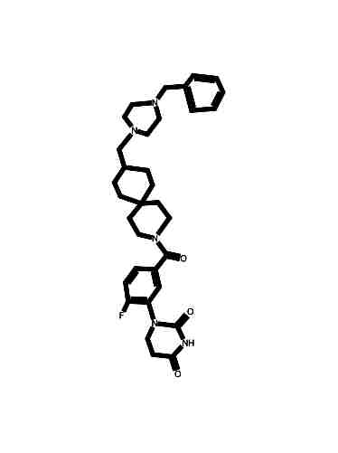 O=C1CCN(c2cc(C(=O)N3CCC4(CCC(CN5CCN(Cc6ccccc6)CC5)CC4)CC3)ccc2F)C(=O)N1